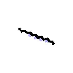 C=C/C=C/C=C/C=C/C=C/CC[CH]C